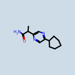 CC(C(N)=O)c1cnc(C2CCCCC2)cn1